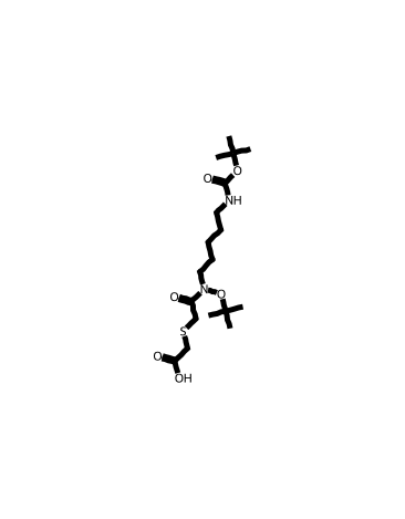 CC(C)(C)OC(=O)NCCCCCN(OC(C)(C)C)C(=O)CSCC(=O)O